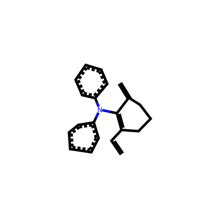 C=CC1=C(N(c2ccccc2)c2ccccc2)C(=C)CCC1